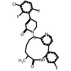 CC1CCC[C@H](N2CCC(c3c(F)ccc(Cl)c3F)=CC2=O)c2cc(ccn2)-c2ccc(F)cc2NC1=O